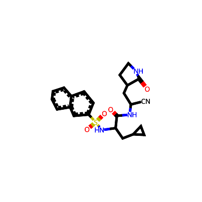 N#CC(CC1CCNC1=O)NC(=O)C(CC1CC1)NS(=O)(=O)c1ccc2ccccc2c1